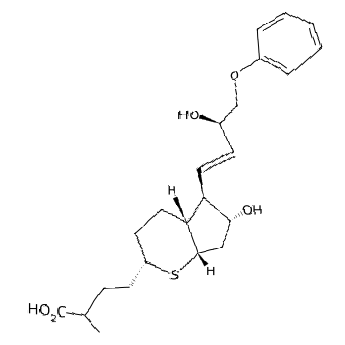 CC(CC[C@@H]1CC[C@@H]2[C@@H](/C=C/[C@@H](O)COc3ccccc3)[C@H](O)C[C@@H]2S1)C(=O)O